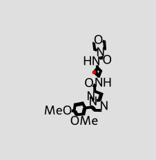 COc1ccc(-c2ccnc3cc(C(=O)NC45CC(NC(=O)N6CCOCC6)(C4)C5)nn23)cc1OC